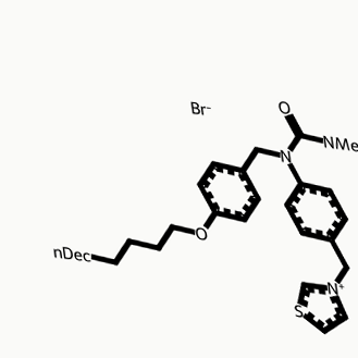 CCCCCCCCCCCCCCOc1ccc(CN(C(=O)NC)c2ccc(C[n+]3ccsc3)cc2)cc1.[Br-]